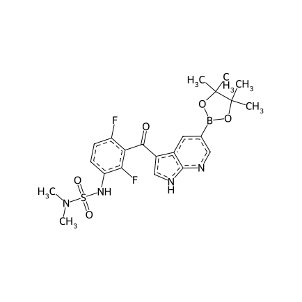 CN(C)S(=O)(=O)Nc1ccc(F)c(C(=O)c2c[nH]c3ncc(B4OC(C)(C)C(C)(C)O4)cc23)c1F